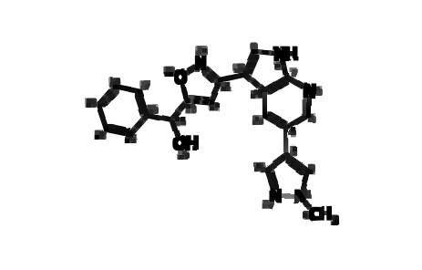 Cn1cc(-c2cnc3[nH]cc(-c4cc(C(O)c5ccccc5)on4)c3c2)cn1